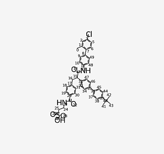 Cc1cc(Cl)ccc1-c1ccc(NC(=O)C(Cc2ccc(C(=O)NCCS(=O)(=O)O)cc2)c2ccc(-c3ccc(C(C)(C)C)cc3)cc2)cc1